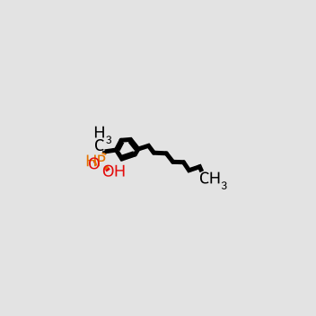 CCCCCCCCc1ccc(C(C)[PH](=O)O)cc1